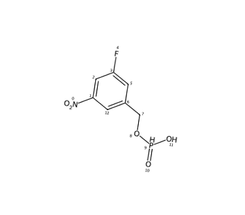 O=[N+]([O-])c1cc(F)cc(CO[PH](=O)O)c1